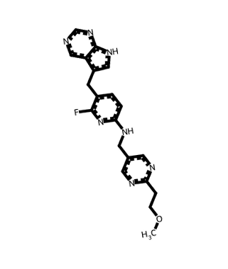 COCCc1ncc(CNc2ccc(Cc3c[nH]c4ncncc34)c(F)n2)cn1